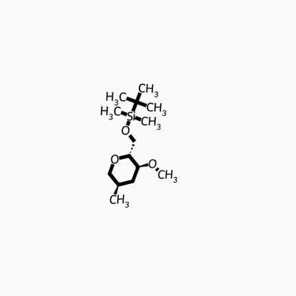 CO[C@H]1C[C@@H](C)CO[C@@H]1CO[Si](C)(C)C(C)(C)C